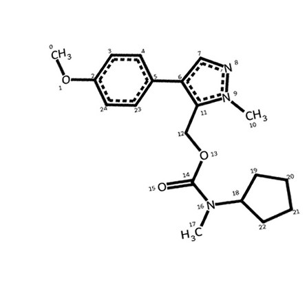 COc1ccc(-c2cnn(C)c2COC(=O)N(C)C2CCCC2)cc1